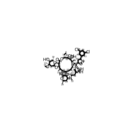 CC[C@H]1OC(=O)[C@H](C)[C@@H](O[C@H]2C[C@@](C)(OC)[C@@H](O)[C@H](C)O2)[C@H](C)[C@@H](O[C@@H]2O[C@H](C)C[C@H](N(C)CCC3=CN(C[C@H]4CC(c5cc(Cl)cc(Cl)c5)=NO4)NN3)[C@H]2O)[C@](C)(O)C[C@@H](C)CN(C)[C@H](C)[C@@H](O)[C@]1(C)O